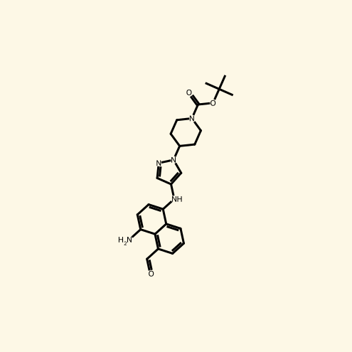 CC(C)(C)OC(=O)N1CCC(n2cc(Nc3ccc(N)c4c(C=O)cccc34)cn2)CC1